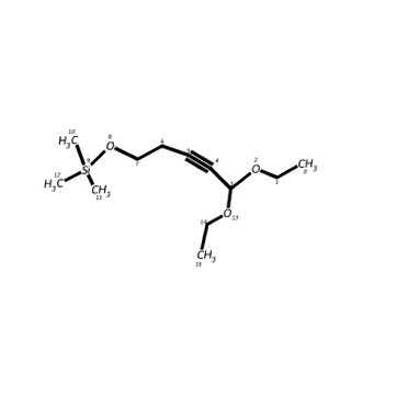 CCOC(C#CCCO[Si](C)(C)C)OCC